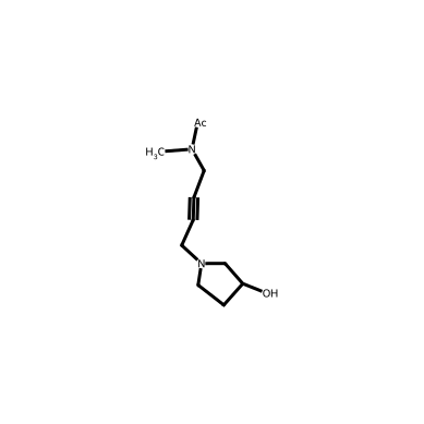 CC(=O)N(C)CC#CCN1CCC(O)C1